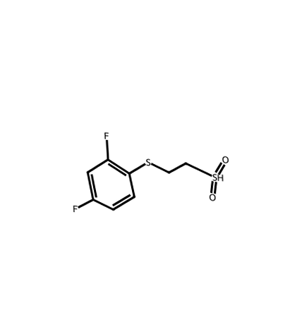 O=[SH](=O)CCSc1ccc(F)cc1F